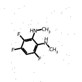 CNc1c(F)cc(F)c(F)c1NC